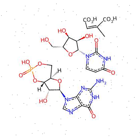 C/C(=C/C(=O)O)C(=O)O.Nc1nc2c(ncn2[C@@H]2O[C@@H]3COP(=O)(O)O[C@H]3[C@H]2O)c(=O)[nH]1.O=c1ccn([C@@H]2O[C@H](CO)[C@@H](O)[C@H]2O)c(=O)[nH]1